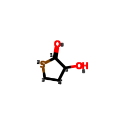 O=C1SC[CH]C1O